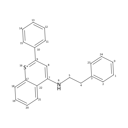 c1ccc(CCNc2cc(-c3ccccc3)[s+]c3ccccc23)cc1